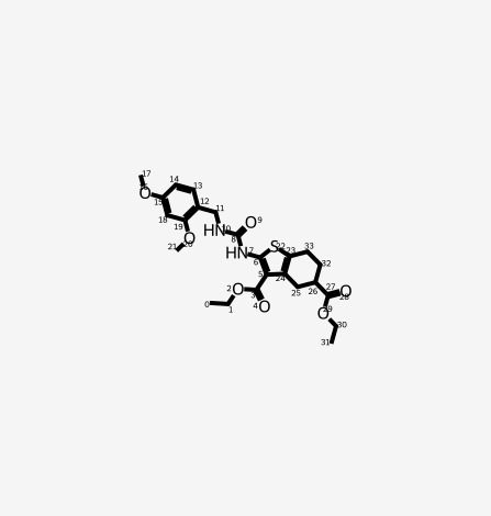 CCOC(=O)c1c(NC(=O)NCc2ccc(OC)cc2OC)sc2c1CC(C(=O)OCC)CC2